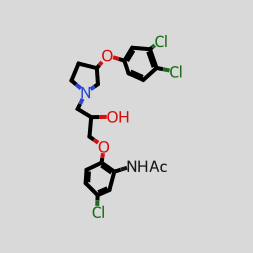 CC(=O)Nc1cc(Cl)ccc1OCC(O)CN1CCC(Oc2ccc(Cl)c(Cl)c2)C1